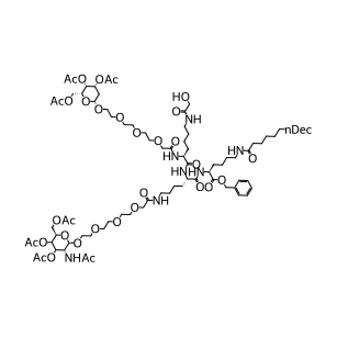 CCCCCCCCCCCCCCCC(=O)NCCCC[C@H](NC(=O)[C@H](CCCCNC(=O)COCCOCCOCCO[C@@H]1O[C@H](COC(C)=O)[C@H](OC(C)=O)[C@H](OC(C)=O)[C@H]1NC(C)=O)NC(=O)[C@H](CCCCNC(=O)CO)NC(=O)COCCOCCOCCO[C@H]1C[C@@H](OC(C)=O)[C@@H](OC(C)=O)[C@@H](COC(C)=O)O1)C(=O)OCc1ccccc1